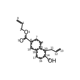 C=CCOC(=O)c1ccc2c(CC=C)c(O)ccc2c1